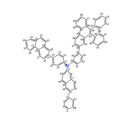 c1ccc(-c2ccc3cc(N(c4ccc(-c5ccc6c(ccc7ccccc76)c5)cc4)c4cccc(-c5ccc6c(c5)c(-c5ccccc5)c(-c5ccccc5)c5ccccc56)c4)ccc3c2)cc1